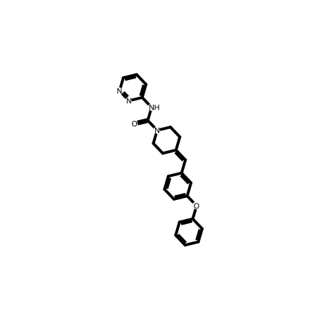 O=C(Nc1cccnn1)N1CCC(=Cc2cccc(Oc3ccccc3)c2)CC1